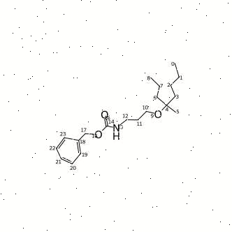 CCCCC(C)(CCC)OCCCNC(=O)OCc1ccccc1